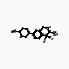 CCCC1CCC(c2ccc3c(c2)COC(C(F)(F)F)C3(F)F)CC1